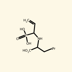 C=CC(NC(CC(C)C)C(=O)O)P(=O)(O)O